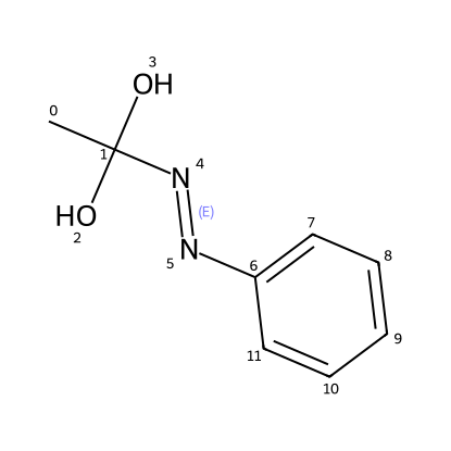 CC(O)(O)/N=N/c1ccccc1